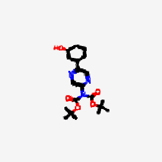 CC(C)(C)OC(=O)N(C(=O)OC(C)(C)C)c1cnc([C@@H]2CCC[C@H](O)C2)cn1